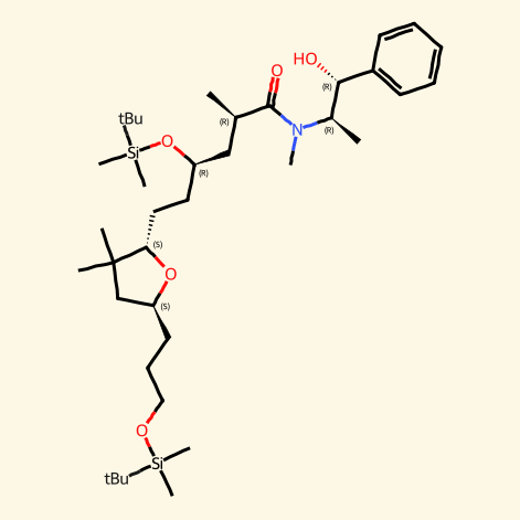 C[C@H](C[C@@H](CC[C@@H]1O[C@@H](CCCO[Si](C)(C)C(C)(C)C)CC1(C)C)O[Si](C)(C)C(C)(C)C)C(=O)N(C)[C@H](C)[C@H](O)c1ccccc1